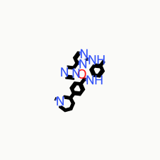 Cc1ccc(NC(=O)c2ccc(C3CCCCN(C)C3)cc2)cc1Nc1nccc(-c2cnccn2)n1